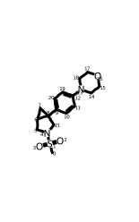 CS(=O)(=O)N1CC2CC2(c2ccc(N3CCOCC3)cc2)C1